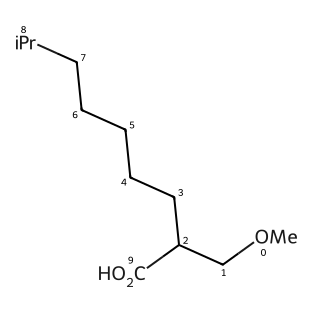 COCC(CCCCCC(C)C)C(=O)O